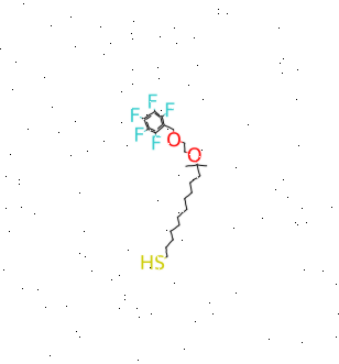 CC(C)(CCCCCCCCCCCS)OCCOCc1c(F)c(F)c(F)c(F)c1F